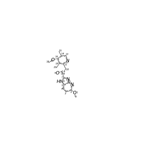 COc1ccc2[nH]c([S@+]([O-])Cc3ncc(C)c(OC)c3C)nc2n1